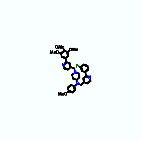 COc1ccc(N(Cc2ccnc(-c3cccc(F)c3)c2)C2CCN(Cc3ccnc(-c4cc(OC)c(OC)c(OC)c4)c3)CC2)cc1